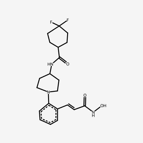 O=C(C=Cc1ccccc1N1CCC(NC(=O)C2CCC(F)(F)CC2)CC1)NO